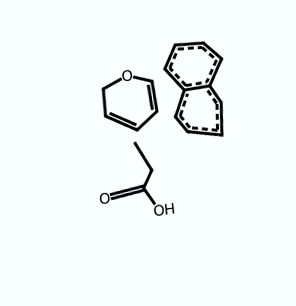 C1=CCOC=C1.CCC(=O)O.c1ccc2ccccc2c1